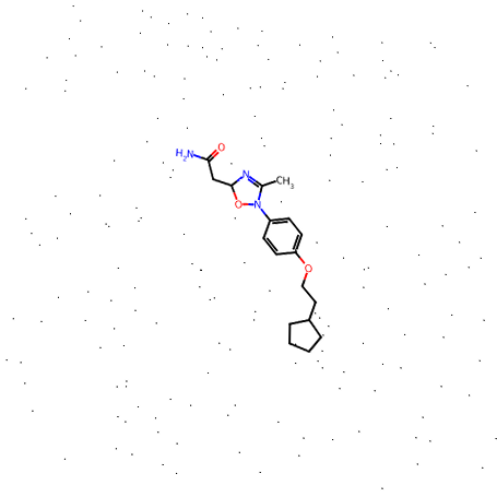 CC1=NC(CC(N)=O)ON1c1ccc(OCCC2CCCC2)cc1